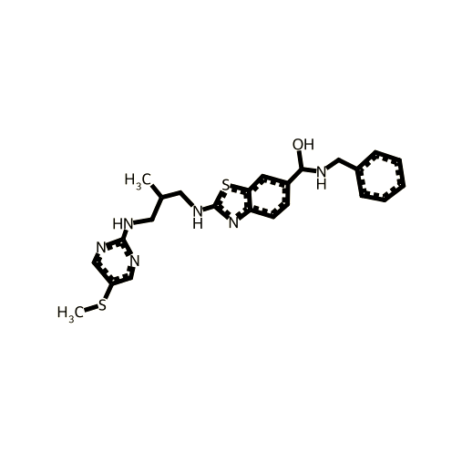 CSc1cnc(NCC(C)CNc2nc3ccc(C(O)NCc4ccccc4)cc3s2)nc1